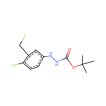 CC(C)(C)OC(=O)NNc1ccc(F)c(CF)c1